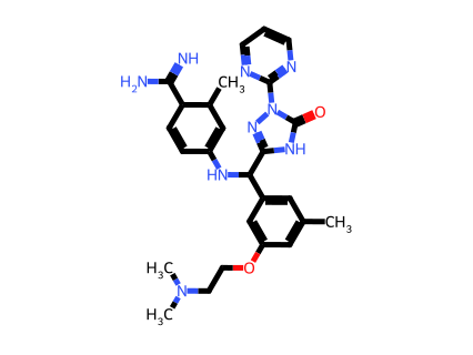 Cc1cc(OCCN(C)C)cc(C(NC2=CC(C)C(C(=N)N)C=C2)c2nn(-c3ncccn3)c(=O)[nH]2)c1